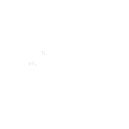 CCCCCCCCCCC1CC2NC2N2CCCCCCCCCC12